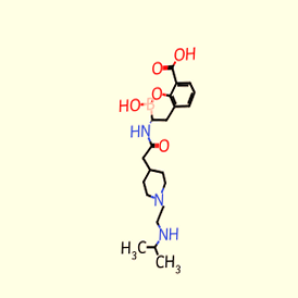 CC(C)NCCN1CCC(CC(=O)N[C@H]2Cc3cccc(C(=O)O)c3OB2O)CC1